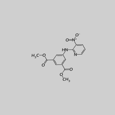 COC(=O)c1cc(Nc2ncccc2[N+](=O)[O-])cc(C(=O)OC)c1